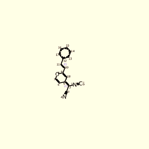 [C-]#[N+]/C(C#N)=C1/C=COC(/C=C/c2ccccc2)=C1